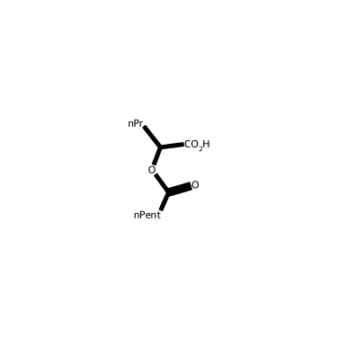 CCCCCC(=O)OC(CCC)C(=O)O